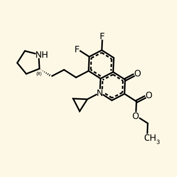 CCOC(=O)c1cn(C2CC2)c2c(CCC[C@@H]3CCCN3)c(F)c(F)cc2c1=O